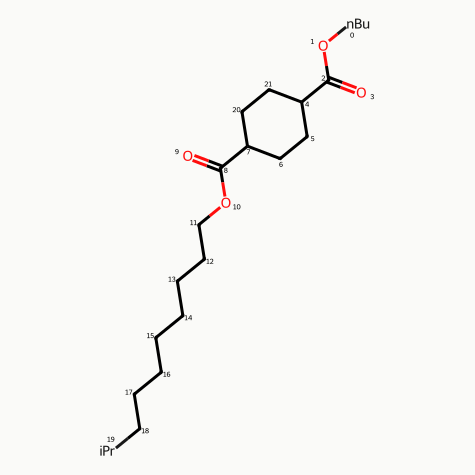 CCCCOC(=O)C1CCC(C(=O)OCCCCCCCCC(C)C)CC1